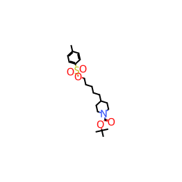 Cc1ccc(S(=O)(=O)OCCCCCC2CCN(C(=O)OC(C)(C)C)CC2)cc1